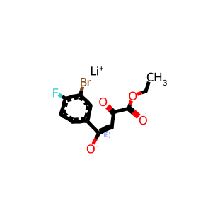 CCOC(=O)C(=O)/C=C(/[O-])c1ccc(F)c(Br)c1.[Li+]